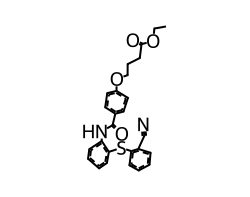 CCOC(=O)CCCOc1ccc(C(=O)Nc2ccccc2Sc2ccccc2C#N)cc1